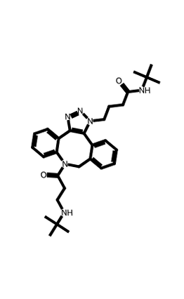 CC(C)(C)NCCC(=O)N1Cc2ccccc2-c2c(nnn2CCCC(=O)NC(C)(C)C)-c2ccccc21